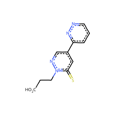 O=C(O)CCn1ncc(-c2cccnn2)cc1=S